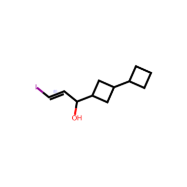 OC(/C=C/I)C1CC(C2CCC2)C1